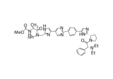 CCCN(Cc1nc(-c2cnc(-c3ccc(-c4cnc([C@@H]5CCCN5C(=O)[C@@H](c5ccccc5)N(CC)CC)[nH]4)cc3)nc2)c[nH]1)C(=O)[C@H](C)NC(=O)OC